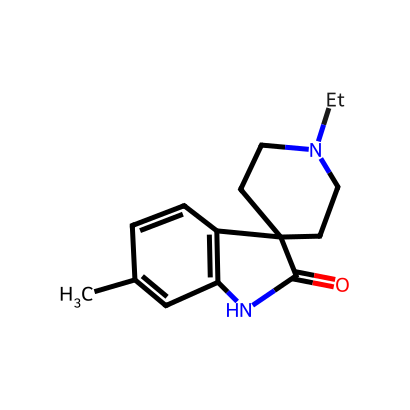 CCN1CCC2(CC1)C(=O)Nc1cc(C)ccc12